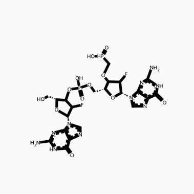 Nc1nc2c(ncn2[C@@H]2O[C@H](COP(=O)(O)OC3C(F)[C@H](n4cnc5c(=O)[nH]c(N)nc54)O[C@@H]3CO)C(OC[PH](=O)O)C2F)c(=O)[nH]1